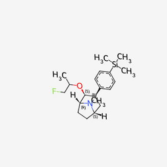 CC(CF)O[C@H]1[C@@H](c2ccc([Si](C)(C)C)cc2)C[C@@H]2CC[C@H]1N2C